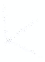 [CH2]c1cc(OCCCCCCCCCCCCCCCCCCCCCC)c(OCCCCCCCCCCCCCCCCCCCCCC)c(OCCCCCCCCCCCCCCCCCCCCCC)c1